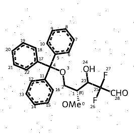 CO[C@H](COC(c1ccccc1)(c1ccccc1)c1ccccc1)C(O)C(F)(F)C=O